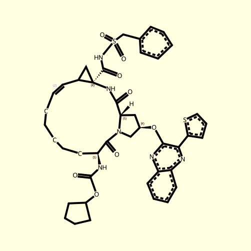 O=C(N[C@H]1CCCCC/C=C\C2C[C@@]2(C(=O)NS(=O)(=O)Cc2ccccc2)NC(=O)[C@@H]2C[C@@H](Oc3nc4ccccc4nc3-c3cccs3)CN2C1=O)OC1CCCC1